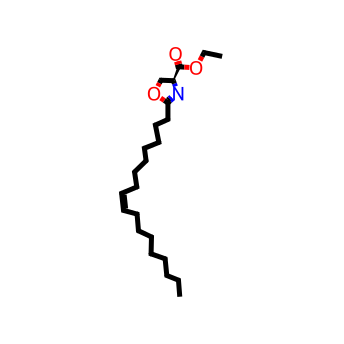 CCCCCCCC/C=C\CCCCCCCC1=N[C@H](C(=O)OCC)CO1